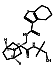 CC(C)(CO)NC(=O)CN1[C@@H]2CC[C@H]1C[C@H](CNC(=O)c1csc3c1CCCC3)C2